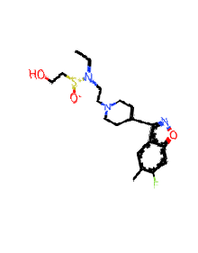 CCN(CCN1CCC(c2noc3cc(F)c(C)cc23)CC1)[S+]([O-])CCO